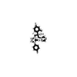 C[C@@H](n1nnn(-c2ccc(F)cc2)c1=O)[C@](O)(Cn1cncn1)c1ccc(F)cc1F